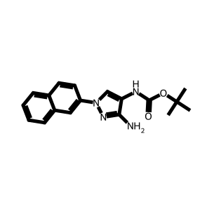 CC(C)(C)OC(=O)Nc1cn(-c2ccc3ccccc3c2)nc1N